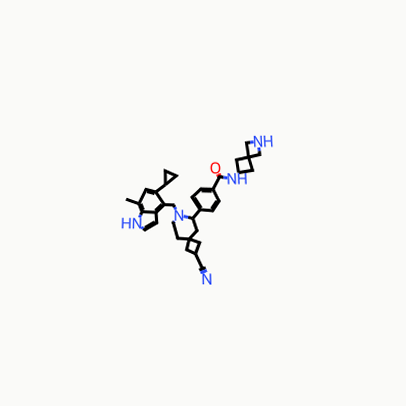 Cc1cc(C2CC2)c(CN2CCC3(CC(C#N)C3)CC2c2ccc(C(=O)NC3CC4(CNC4)C3)cc2)c2cc[nH]c12